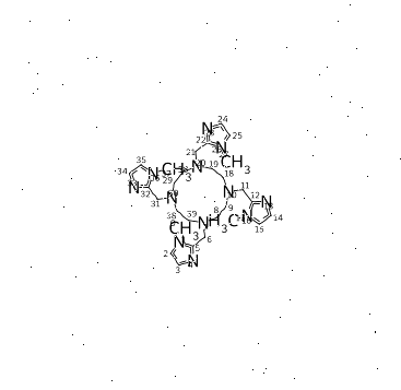 Cn1ccnc1CN1CCN(Cc2nccn2C)CCN(Cc2nccn2C)CCN(Cc2nccn2C)CC1